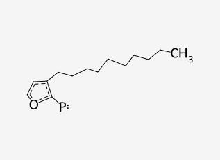 CCCCCCCCCCc1ccoc1[P]